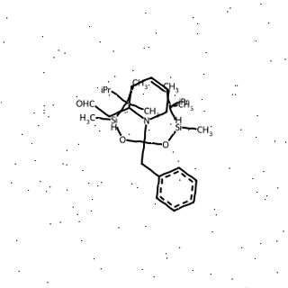 CC(C)C(C)(C)[SiH](C)OC(Cc1ccccc1)(O[SiH](C)C(C)(C)C(C)C)N1CC=CCC1CC=O